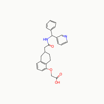 O=C(O)COc1cccc2c1CCC(CC(=O)NC(c1ccccc1)c1cccnc1)C2